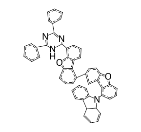 C1=CC2c3ccccc3N(c3cccc4oc5ccc(-c6cccc7oc8c(C9N=C(c%10ccccc%10)N=C(c%10ccccc%10)N9)cccc8c67)cc5c34)C2C=C1